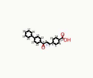 O=C(O)c1ccc(/C=C/C(=O)c2ccc(-c3ccccc3)cc2)cc1